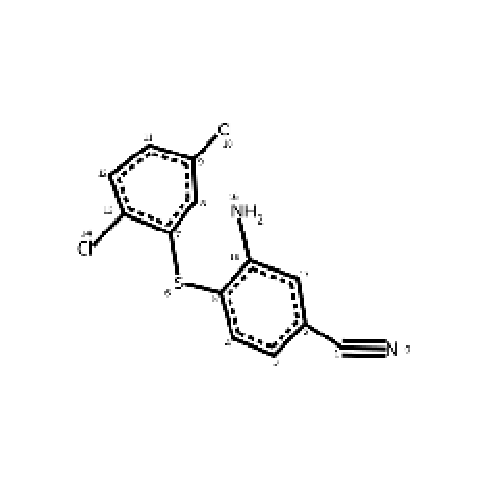 N#Cc1ccc(Sc2cc(Cl)ccc2Cl)c(N)c1